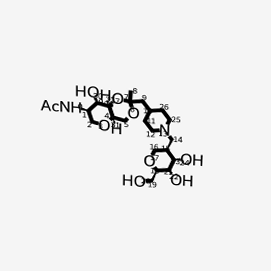 CC(=O)N[C@@H]1CO[C@@H]2COC(C)(CC3CCN(C[C@@H]4CO[C@H](CO)[C@H](O)[C@@H]4O)CC3)O[C@@H]2[C@@H]1O